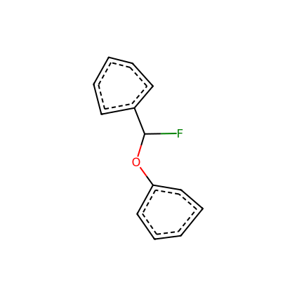 FC(Oc1ccccc1)c1ccccc1